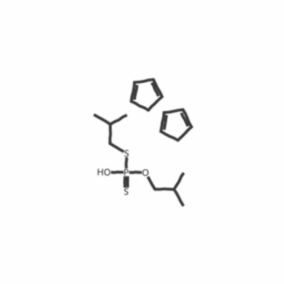 C1=CCC=C1.C1=CCC=C1.CC(C)COP(O)(=S)SCC(C)C